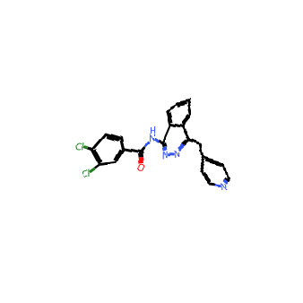 O=C(Nc1nnc(Cc2ccncc2)c2ccccc12)c1ccc(Cl)c(Cl)c1